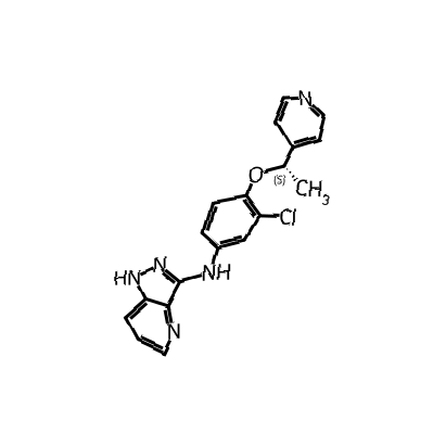 C[C@H](Oc1ccc(Nc2n[nH]c3cccnc23)cc1Cl)c1ccncc1